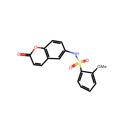 COc1ccccc1S(=O)(=O)Nc1ccc2oc(=O)ccc2c1